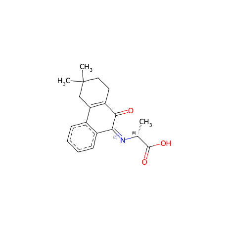 C[C@@H](/N=C1\C(=O)C2=C(CC(C)(C)CC2)c2ccccc21)C(=O)O